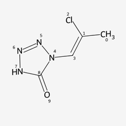 CC(Cl)=Cn1nn[nH]c1=O